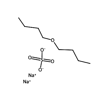 CCCCOCCCC.O=S(=O)([O-])[O-].[Na+].[Na+]